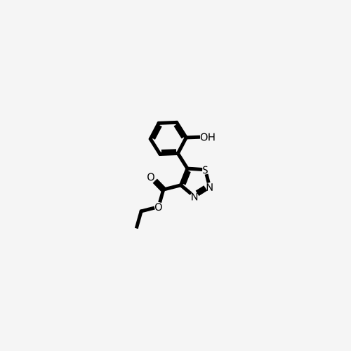 CCOC(=O)c1nnsc1-c1ccccc1O